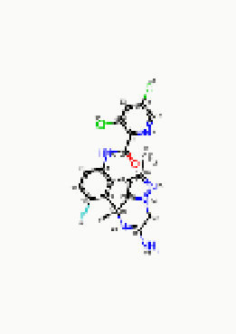 C[C@]1(c2cc(NC(=O)c3ncc(Cl)cc3Cl)ccc2F)N=C(N)Cn2nc(C(F)(F)F)cc21